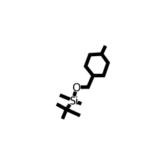 CC1CCC(CO[Si](C)(C)C(C)(C)C)CC1